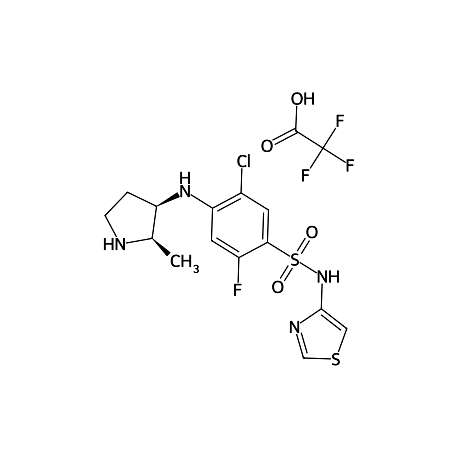 C[C@H]1NCC[C@H]1Nc1cc(F)c(S(=O)(=O)Nc2cscn2)cc1Cl.O=C(O)C(F)(F)F